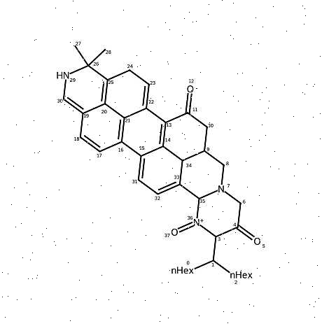 CCCCCCC(CCCCCC)C1C(=O)CN2CC3CC(=O)c4c5c(c6ccc7c8c6c4=CCC=8C(C)(C)NC=7)=CC=C(C53)C2[N+]1=O